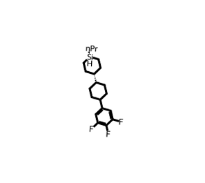 CCC[Si@H]1CC[C@H](C2CCC(c3cc(F)c(F)c(F)c3)CC2)CC1